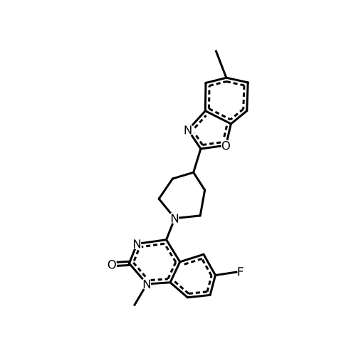 Cc1ccc2oc(C3CCN(c4nc(=O)n(C)c5ccc(F)cc45)CC3)nc2c1